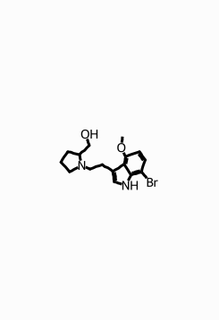 COc1ccc(Br)c2[nH]cc(CCN3CCCC3CO)c12